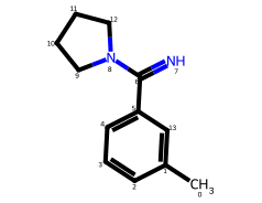 Cc1cccc(C(=N)N2CCCC2)c1